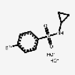 [B+2]c1ccc(S(=O)(=O)NC2CC2)cc1.[OH-].[OH-]